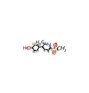 Cc1nc(S(C)(=O)=O)ccc1-c1ccc(O)cc1